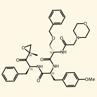 COc1ccc(C[C@H](NC(=O)[C@H](COCc2ccccc2)NC(=O)CN2CCOCC2)C(=O)N[C@@H](Cc2ccccc2)C(=O)[C@@]2(C)CO2)cc1